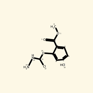 COC(=O)c1ccccc1OC(Cl)NN.Cl